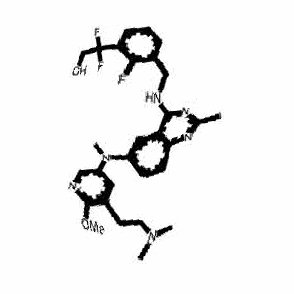 COc1ncc(N(C)c2ccc3nc(C)nc(NCc4cccc(C(F)(F)CO)c4F)c3c2)cc1CCN(C)C